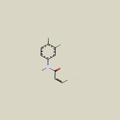 CCOC(=O)/C=C\C(=O)N(c1ccc(F)c(Cl)c1)C(C)C